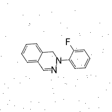 Fc1ccccc1N1Cc2ccccc2C=N1